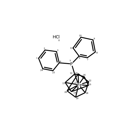 Cl.c1ccc(P(c2ccccc2)[C]23[CH]4[CH]5[CH]6[CH]2[Fe]56432789[CH]3[CH]2[CH]7[CH]8[CH]39)cc1